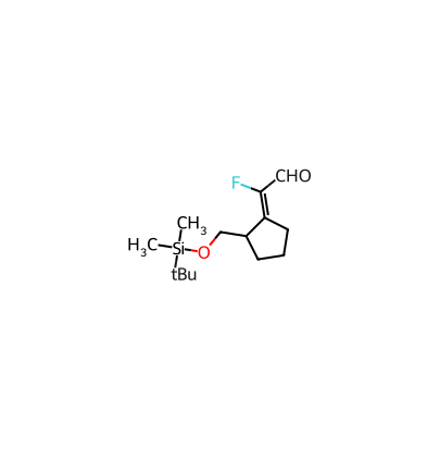 CC(C)(C)[Si](C)(C)OCC1CCC/C1=C(/F)C=O